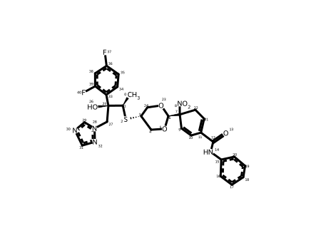 C[C@@H](S[C@H]1CO[C@H](C2([N+](=O)[O-])C=CC(C(=O)Nc3ccccc3)=CC2)OC1)[C@](O)(Cn1cncn1)c1ccc(F)cc1F